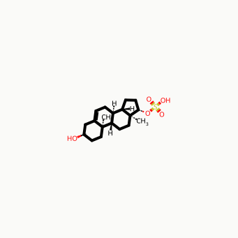 C[C@]12CC[C@H]3[C@@H](CC=C4C[C@H](O)CC[C@@]43C)[C@@H]1CC[C@@H]2OS(=O)(=O)O